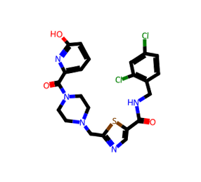 O=C(NCc1ccc(Cl)cc1Cl)c1cnc(CN2CCN(C(=O)c3cccc(O)n3)CC2)s1